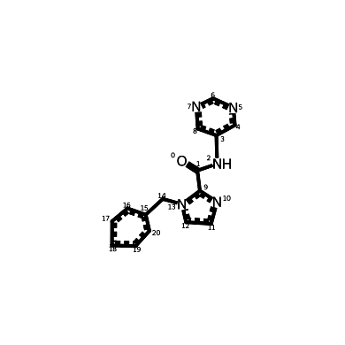 O=C(Nc1cncnc1)c1nccn1Cc1ccccc1